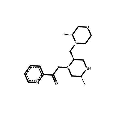 C[C@@H]1CN(CC(=O)c2ccccn2)[C@@H](CN2CCOC[C@H]2C)CN1